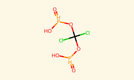 O=[PH](O)OC(Cl)(Cl)O[PH](=O)O